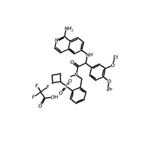 CCOc1cc(C(Nc2ccc3c(N)nccc3c2)C(=O)N(C)Cc2ccccc2S(=O)(=O)C2CCC2)ccc1OC(C)C.O=C(O)C(F)(F)F